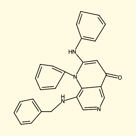 O=c1cc(Nc2ccccc2)n(-c2ccccc2)c2c(NCc3ccccc3)cncc12